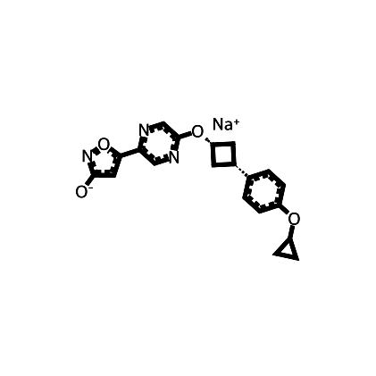 [Na+].[O-]c1cc(-c2cnc(O[C@H]3C[C@@H](c4ccc(OC5CC5)cc4)C3)cn2)on1